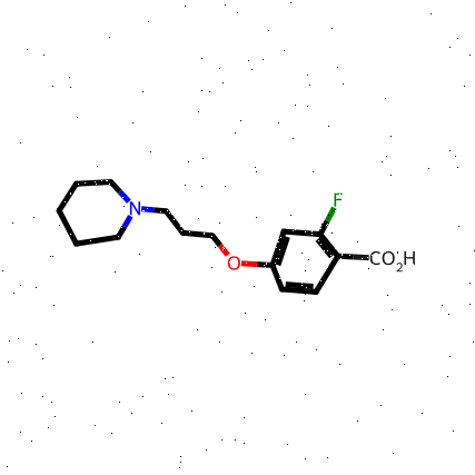 O=C(O)c1ccc(OCCCN2CCCCC2)cc1F